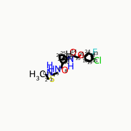 CC1CSC(CNC(=O)C2C[C@H](NC(=O)COc3ccc(Cl)c(F)c3)C3CC2C3)N1